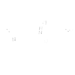 Cc1nccc(-c2cccc(NC(=O)c3cc([N+](=O)[O-])ccc3Cl)c2)n1